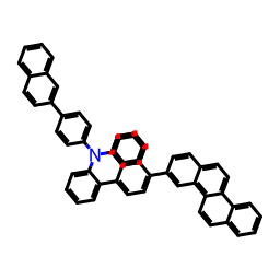 c1ccc(N(c2ccc(-c3ccc4ccccc4c3)cc2)c2ccccc2-c2ccc(-c3ccc4ccc5c6ccccc6ccc5c4c3)c3ccccc23)cc1